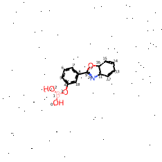 OB(O)Oc1cccc(C2=NC3C=CC=CC3O2)c1